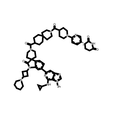 CC(C)n1cnc2cc(-c3ccc4c(c3)N(C3CC(N5CCCCC5)C3)C(=O)C43CCN(C(=O)C4CCC5(CC4)CCN(C(=O)C4CCN(c6ccc([C@H]7CCC(=O)NC7=O)cn6)CC4)CC5)CC3)nc(NC3CC3)c21